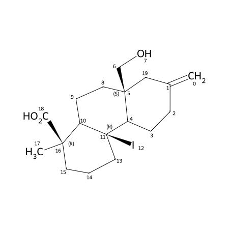 C=C1CCC2[C@](CO)(CCC3[C@@]2(I)CCC[C@@]3(C)C(=O)O)C1